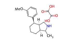 COc1cccc([C@@H]2CCC[C@@H]3C(C)NC[C@@H]32)c1.O=C(O)C(=O)O